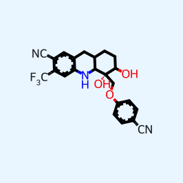 N#Cc1ccc(OC[C@]2(O)C(O)CCC3Cc4cc(C#N)c(C(F)(F)F)cc4NC32)cc1